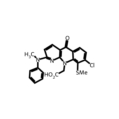 CSc1c(Cl)ccc2c(=O)c3ccc(N(C)c4ccccc4)nc3n(CC(=O)O)c12